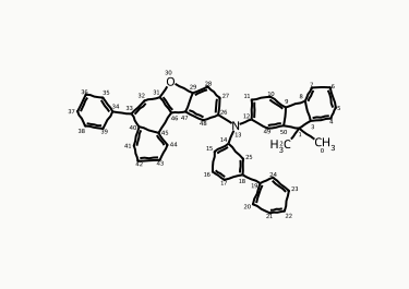 CC1(C)c2ccccc2-c2ccc(N(c3cccc(-c4ccccc4)c3)c3ccc4oc5cc(-c6ccccc6)c6ccccc6c5c4c3)cc21